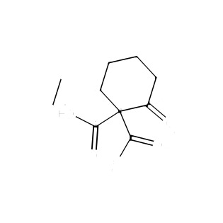 CC.O=C(O)C1(C(=O)O)CCCCC1=O